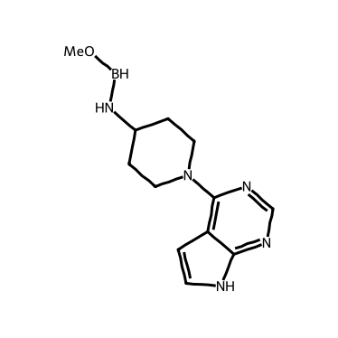 COBNC1CCN(c2ncnc3[nH]ccc23)CC1